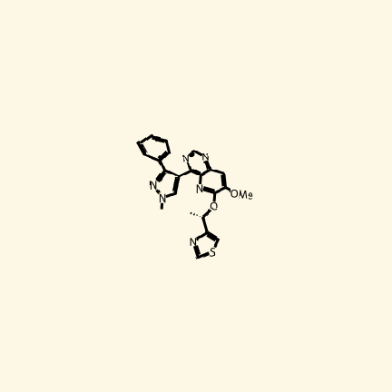 COc1cc2ncnc(-c3cn(C)nc3-c3ccccc3)c2nc1O[C@@H](C)c1cscn1